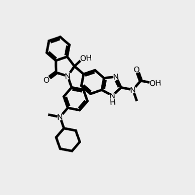 CN(C(=O)O)c1nc2cc(C3(O)c4ccccc4C(=O)N3c3cccc(N(C)C4CCCCC4)c3)ccc2[nH]1